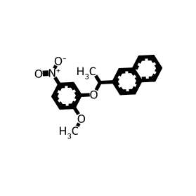 COc1ccc([N+](=O)[O-])cc1OC(C)c1ccc2ccccc2c1